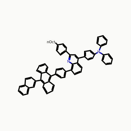 CCCCCCCCc1ccc(-c2cc(-c3ccc(N(c4ccccc4)c4ccccc4)cc3)c3cccc(-c4ccc(-c5c6ccccc6c(-c6ccc7ccccc7c6)c6ccccc56)cc4)c3n2)cc1